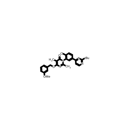 COc1cccc(COc2nc(C)n(-c3cc(-c4ccnc(C(C)(C)C)n4)ccc3Cl)c(=O)c2C)c1